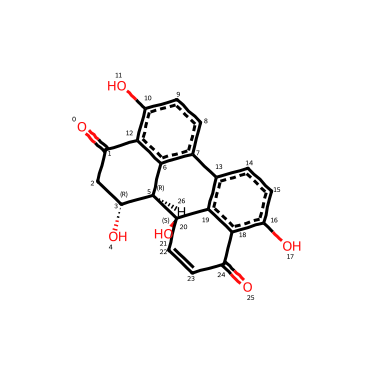 O=C1C[C@@H](O)[C@H]2c3c(ccc(O)c31)-c1ccc(O)c3c1[C@]2(O)C=CC3=O